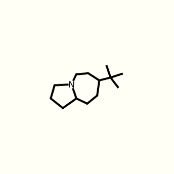 CC(C)(C)C1CCC2CCCN2CC1